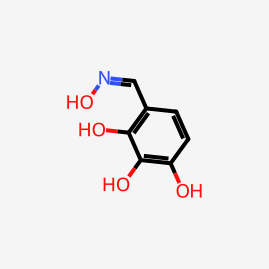 O/N=C\c1ccc(O)c(O)c1O